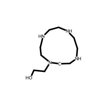 OCCN1CCNCCNCCNCC1